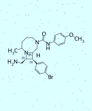 COc1ccc(NC(=O)N2CCCC(C)N3[C@H](CN)[C@H](c4ccc(Br)cc4)[C@@H]3C2)cc1